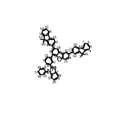 CC1(C)c2ccccc2-c2ccc(-c3ccc4oc5c(-c6cccc(-c7nc8ccccc8n7-c7ccccc7)c6)cc(-c6ccc7c(c6)C(C)(C)c6ccccc6-7)cc5c4c3)cc21